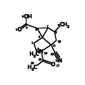 CCC12C(C(=O)O)C1C(C)CC2(C#N)NC(C)=O